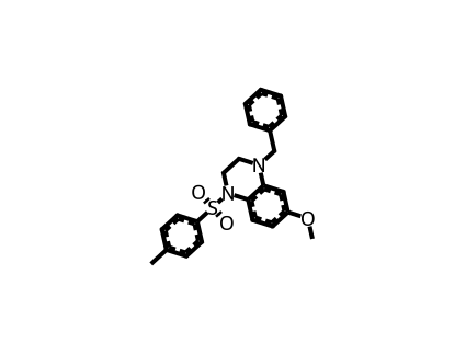 COc1ccc2c(c1)N(Cc1ccccc1)CCN2S(=O)(=O)c1ccc(C)cc1